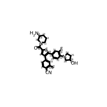 N#Cc1ccc(-c2cc(C(=O)N3CCC[C@@H](N)C3)sc2-c2ccc(N3CCC(O)C3)c(F)c2)cc1F